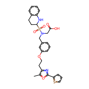 Cc1oc(-c2cccs2)nc1CCOc1cccc(CN(CC(=O)O)S(=O)(=O)C2CCc3ccccc3N2)c1